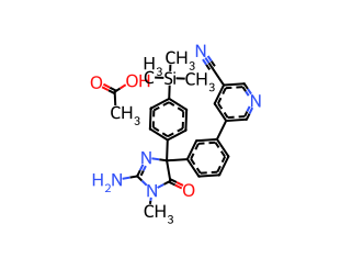 CC(=O)O.CN1C(=O)C(c2ccc([Si](C)(C)C)cc2)(c2cccc(-c3cncc(C#N)c3)c2)N=C1N